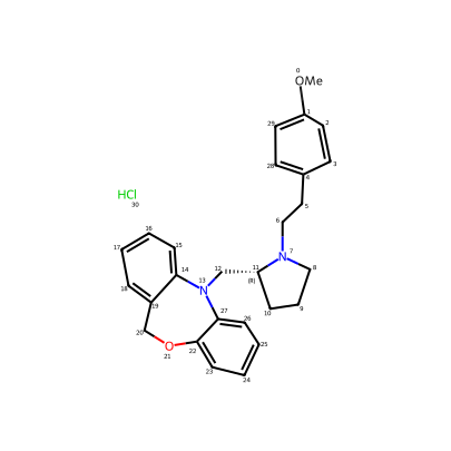 COc1ccc(CCN2CCC[C@@H]2CN2c3ccccc3COc3ccccc32)cc1.Cl